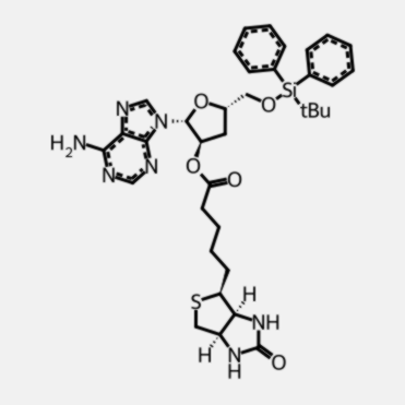 CC(C)(C)[Si](OC[C@@H]1C[C@@H](OC(=O)CCCC[C@@H]2SC[C@@H]3NC(=O)N[C@@H]32)[C@H](n2cnc3c(N)ncnc32)O1)(c1ccccc1)c1ccccc1